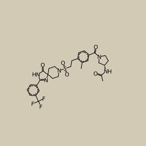 CC(=O)N[C@@H]1CCN(C(=O)c2ccc(CCS(=O)(=O)N3CCC4(CC3)N=C(c3cccc(C(F)(F)F)c3)NC4=O)c(C)c2)C1